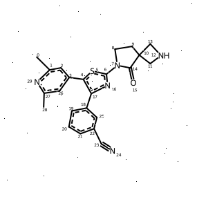 Cc1cc(-c2sc(N3CCC4(CNC4)C3=O)nc2-c2cccc(C#N)c2)cc(C)n1